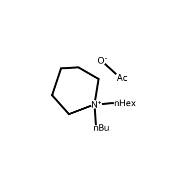 CC(=O)[O-].CCCCCC[N+]1(CCCC)CCCCC1